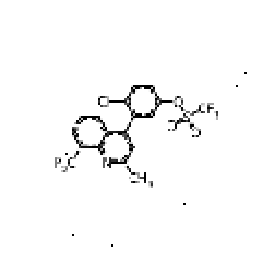 Cc1cc(-c2cc(OS(=O)(=O)C(F)(F)F)ccc2Cl)c2cccc(C(F)(F)F)c2n1